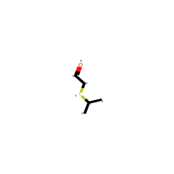 CC(C)SCC=O